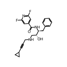 O=C(N[C@@H](Cc1ccccc1)[C@H](O)CNCC#CC1CC1)c1cc(F)nc(F)c1